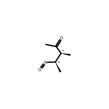 CC(=O)[C@@H](C)[C@@H](C)N=O